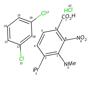 CNc1c(C(C)C)ccc(C(=O)O)c1[N+](=O)[O-].Cl.Clc1cccc(Cl)c1